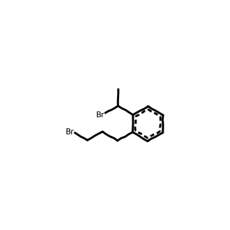 CC(Br)c1ccccc1CCCBr